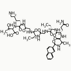 CC[C@H](NC(=O)CNC(=O)[C@H](CC)NC(=O)[C@H](CCC(N)=O)NC(=O)[C@H](C)NC(=O)c1ccc2ccccc2c1)C(=O)NCC(=O)N[C@@H](CCCCN)C(=O)NC(C(=O)O)[C@@H](C)O